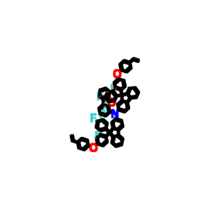 C=Cc1ccc(Oc2ccc(C3(c4cc(F)c(F)cc4F)c4ccccc4-c4ccc(N(c5ccc6c(c5)C(c5ccc(Oc7ccc(C=C)cc7)cc5)(c5cc(F)c(F)cc5F)c5ccccc5-6)c5cccc6c5oc5ccccc56)cc43)cc2)cc1